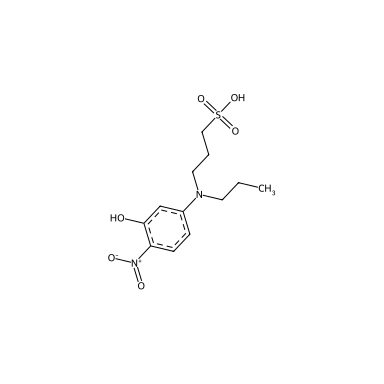 CCCN(CCCS(=O)(=O)O)c1ccc([N+](=O)[O-])c(O)c1